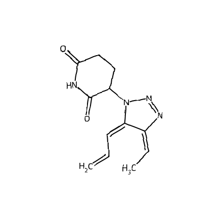 C=C/C=c1\c(=C/C)nnn1C1CCC(=O)NC1=O